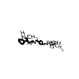 Cc1[nH]c2ccccc2c1CCNCc1ccc(/C=C/CN(O)C(=O)C(C)O)cc1